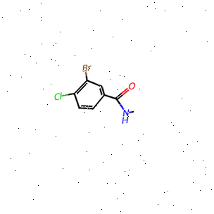 CNC(=O)c1ccc(Cl)c(Br)c1